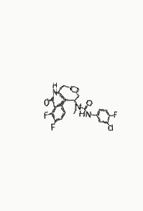 CN(C(=O)Nc1ccc(F)c(Cl)c1)C1COCc2[nH]c(=O)c3c(F)c(F)ccc3c21